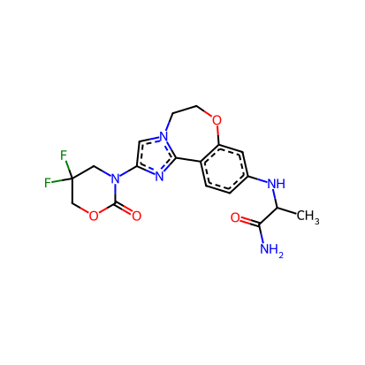 CC(Nc1ccc2c(c1)OCCn1cc(N3CC(F)(F)COC3=O)nc1-2)C(N)=O